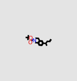 C=CCC(C)c1ccc2c(c1)CCN(C(=O)OC(C)(C)C)C2